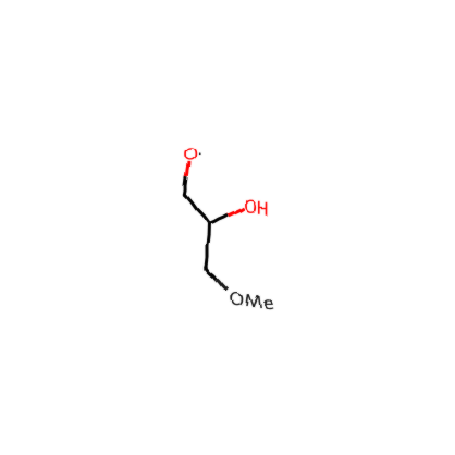 COCC(O)C[O]